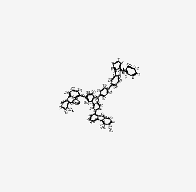 c1ccc(-n2c3ccccc3c3cc(-c4ccc(-n5c6ccc(-c7cccc8c7oc7ccccc78)cc6c6cc(-c7cccc8c7sc7ccccc78)ccc65)cc4)ccc32)cc1